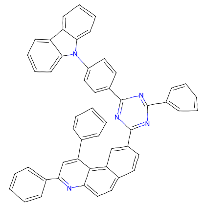 c1ccc(-c2cc(-c3ccccc3)c3c(ccc4ccc(-c5nc(-c6ccccc6)nc(-c6ccc(-n7c8ccccc8c8ccccc87)cc6)n5)cc43)n2)cc1